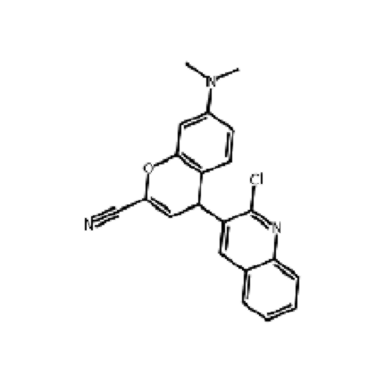 CN(C)c1ccc2c(c1)OC(C#N)=CC2c1cc2ccccc2nc1Cl